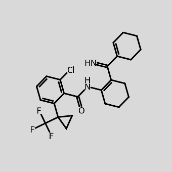 N=C(C1=CCCCC1)C1=C(NC(=O)c2c(Cl)cccc2C2(C(F)(F)F)CC2)CCCC1